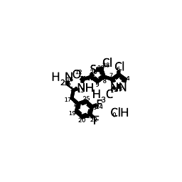 Cl.Cn1ncc(Cl)c1-c1cc(C(=O)N[C@H](CN)Cc2ccc(F)c(F)c2)sc1Cl